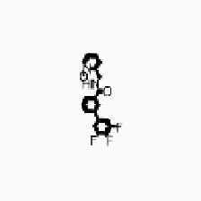 O=C(NCc1cccc[n+]1[O-])c1cccc(-c2cc(F)c(F)c(F)c2)c1